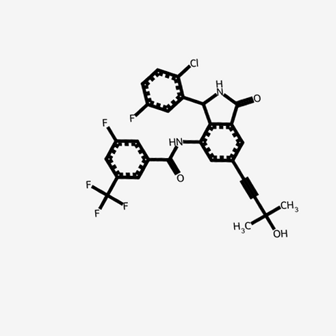 CC(C)(O)C#Cc1cc(NC(=O)c2cc(F)cc(C(F)(F)F)c2)c2c(c1)C(=O)NC2c1cc(F)ccc1Cl